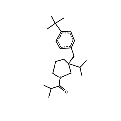 CC(C)C(=O)N1CCC[C@](Cc2ccc(C(C)(C)C)cc2)(C(C)C)C1